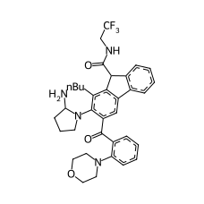 CCCCc1c2c(cc(C(=O)c3ccccc3N3CCOCC3)c1N1CCCC1N)-c1ccccc1C2C(=O)NCC(F)(F)F